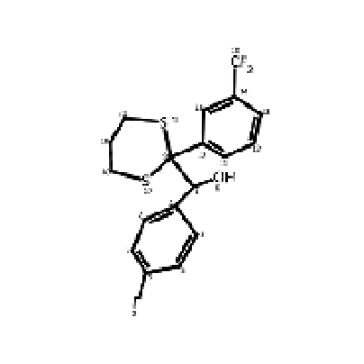 OC(c1ccc(F)cc1)C1(c2cccc(C(F)(F)F)c2)SCCCS1